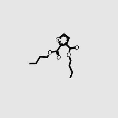 CCCCOC(=O)c1ccsc1C(=O)OCCCC